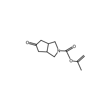 C=C(C)OC(=O)N1CC2CC(=O)CC2C1